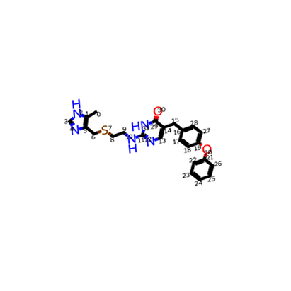 Cc1[nH]cnc1CSCCNc1ncc(Cc2ccc(Oc3ccccc3)cc2)c(=O)[nH]1